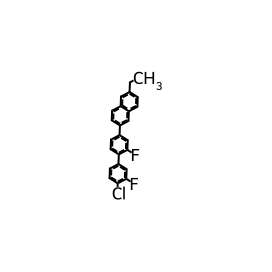 CCc1ccc2cc(-c3ccc(-c4ccc(Cl)c(F)c4)c(F)c3)ccc2c1